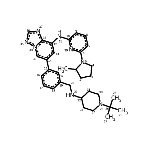 CC1CCCN1c1cccc(Nc2cc(-c3cccc(CNC4CCN(C(C)(C)C)CC4)c3)cn3ncnc23)n1